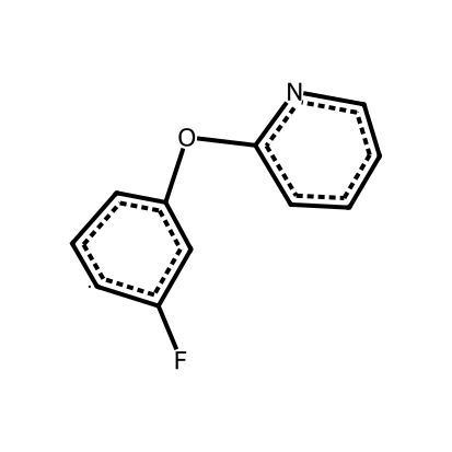 Fc1[c]ccc(Oc2ccccn2)c1